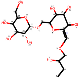 CCC(O)CO/C=C1\OC(CO[C@H]2OC(CO)C(O)C(O)[C@H]2O)C(O)C(O)C1O